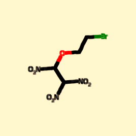 O=[N+]([O-])C(OCCBr)C([N+](=O)[O-])[N+](=O)[O-]